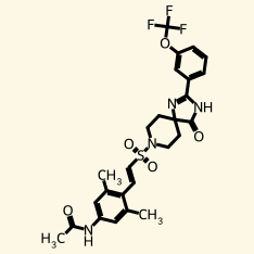 CC(=O)Nc1cc(C)c(C=CS(=O)(=O)N2CCC3(CC2)N=C(c2cccc(OC(F)(F)F)c2)NC3=O)c(C)c1